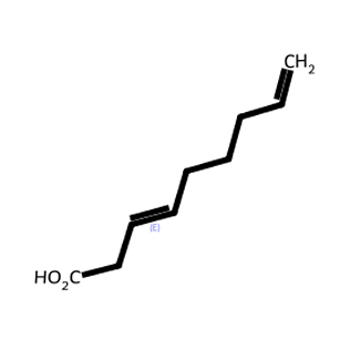 C=CCCC/C=C/CC(=O)O